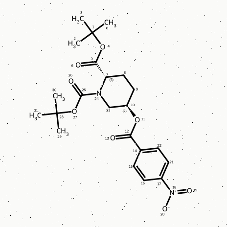 CC(C)(C)OC(=O)[C@@H]1CC[C@@H](OC(=O)c2ccc([N+](=O)[O-])cc2)CN1C(=O)OC(C)(C)C